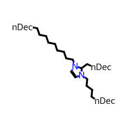 CCCCCCCCCCCCCCCCCCCN1C=CN(CCCCCCCCCCCCCC)C1CCCCCCCCCCC